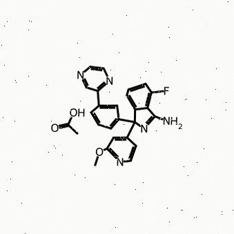 CC(=O)O.COc1cc(C2(c3cccc(-c4cnccn4)c3)N=C(N)c3c(F)cccc32)ccn1